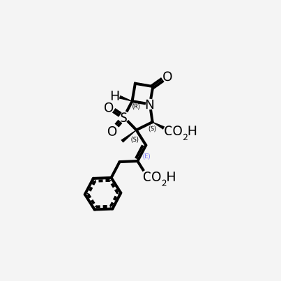 C[C@]1(/C=C(\Cc2ccccc2)C(=O)O)[C@H](C(=O)O)N2C(=O)C[C@H]2S1(=O)=O